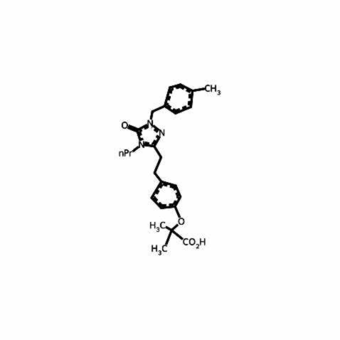 CCCn1c(CCc2ccc(OC(C)(C)C(=O)O)cc2)nn(Cc2ccc(C)cc2)c1=O